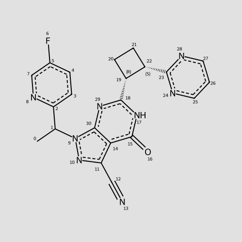 CC(c1ccc(F)cn1)n1nc(C#N)c2c(=O)[nH]c([C@@H]3CC[C@@H]3c3ncccn3)nc21